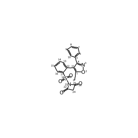 Cc1onc(-c2ccccc2)c1-c1ccccc1S(=O)(=O)N1C(=O)CC1=O